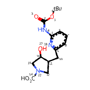 CC(C)(C)OC(=O)Nc1cccc(CC2CN(C(=O)O)CC2O)n1